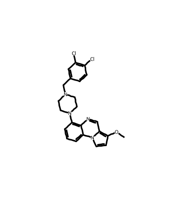 COc1ccn2c1cnc1c(N3CCN(Cc4ccc(Cl)c(Cl)c4)CC3)cccc12